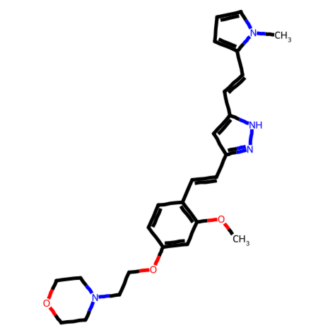 COc1cc(OCCN2CCOCC2)ccc1C=Cc1cc(C=Cc2cccn2C)[nH]n1